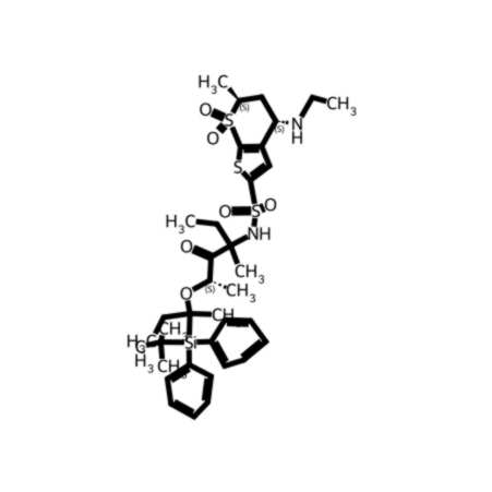 CCN[C@H]1C[C@H](C)S(=O)(=O)c2sc(S(=O)(=O)NC(C)(CC)C(=O)[C@H](C)OC(C)(CC)[Si](c3ccccc3)(c3ccccc3)C(C)(C)C)cc21